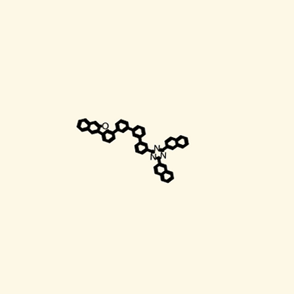 c1cc(-c2cccc(-c3nc(-c4ccc5ccccc5c4)nc(-c4ccc5ccccc5c4)n3)c2)cc(-c2cccc(-c3cccc4c3oc3cc5ccccc5cc34)c2)c1